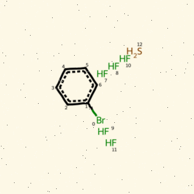 Brc1ccccc1.F.F.F.F.F.S